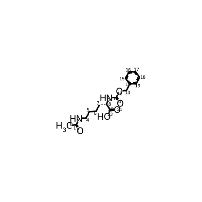 CC(=O)NCCCC[C@H](NC(=O)OCc1ccccc1)C(=O)O